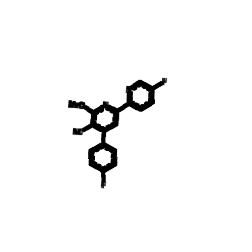 COc1nc(-c2ccc(F)cn2)cc(-c2ccc(F)cc2)c1C#N